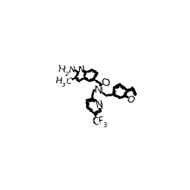 Cc1cc2cc(C(=O)N(Cc3ccc4ccoc4c3)Cc3ccc(C(F)(F)F)cn3)ccc2nc1N